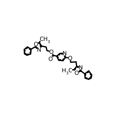 Cc1oc(-c2ccccc2)nc1CCOC(=O)c1ccc(OCCc2nc(-c3ccccc3)oc2C)nc1